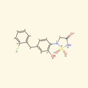 O=C1CN(c2ccc(Cc3ccccc3F)cc2O)S(=O)(=O)N1